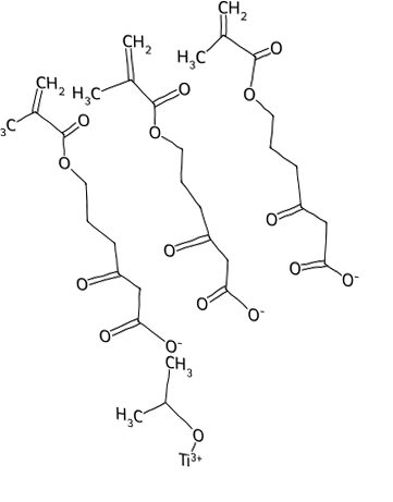 C=C(C)C(=O)OCCCC(=O)CC(=O)[O-].C=C(C)C(=O)OCCCC(=O)CC(=O)[O-].C=C(C)C(=O)OCCCC(=O)CC(=O)[O-].CC(C)[O][Ti+3]